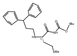 CSCC[C@H](NCCC(c1ccccc1)c1ccccc1)C(=O)NC(=O)OC(C)(C)C